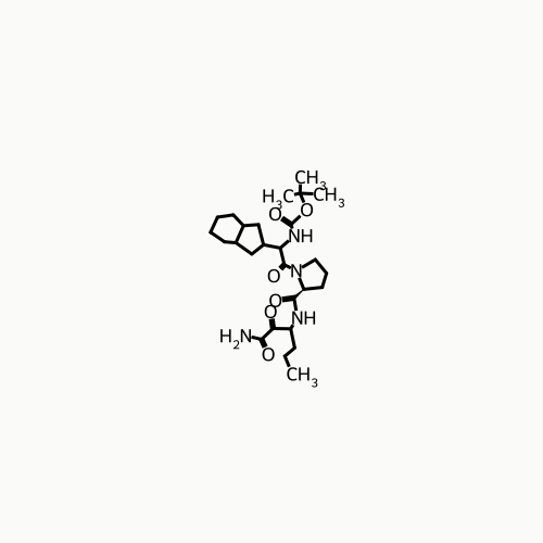 CCCC(NC(=O)[C@@H]1CCCN1C(=O)C(NC(=O)OC(C)(C)C)C1CC2CCCCC2C1)C(=O)C(N)=O